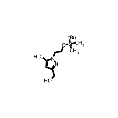 Cc1cc(CO)nn1CCO[Si](C)(C)C(C)(C)C